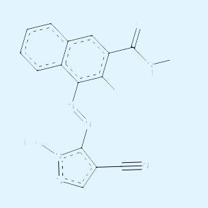 CNC(=O)c1cc2ccccc2c(/N=N/c2c(C#N)cnn2C)c1O